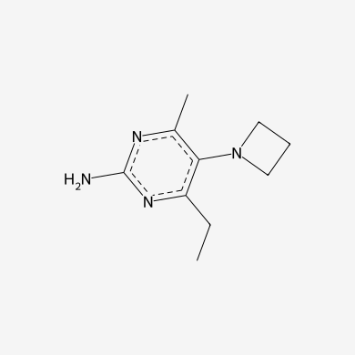 CCc1nc(N)nc(C)c1N1CCC1